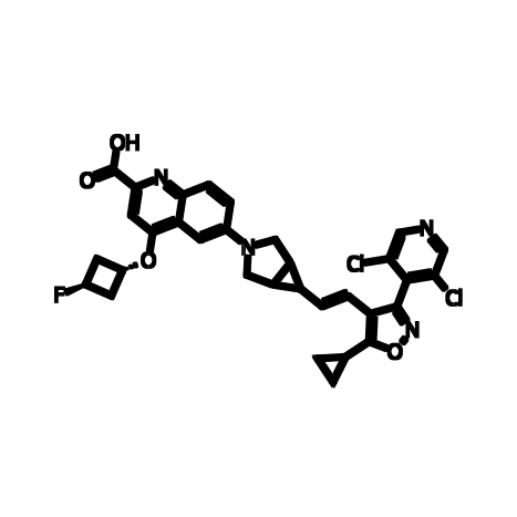 O=C(O)c1cc(O[C@H]2C[C@H](F)C2)c2cc(N3CC4C(/C=C/c5c(-c6c(Cl)cncc6Cl)noc5C5CC5)C4C3)ccc2n1